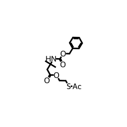 CC(=O)SCCOC(=O)CC(C)(C)NC(=O)OCc1ccccc1